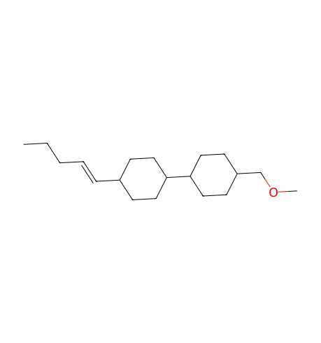 CCCC=CC1CCC(C2CCC(COC)CC2)CC1